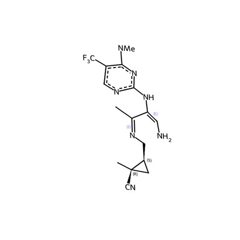 CNc1nc(NC(=C/N)/C(C)=N\C[C@H]2C[C@@]2(C)C#N)ncc1C(F)(F)F